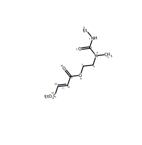 CCNC(=O)N(C)CCOC(=O)/C=C/C(=O)OCC